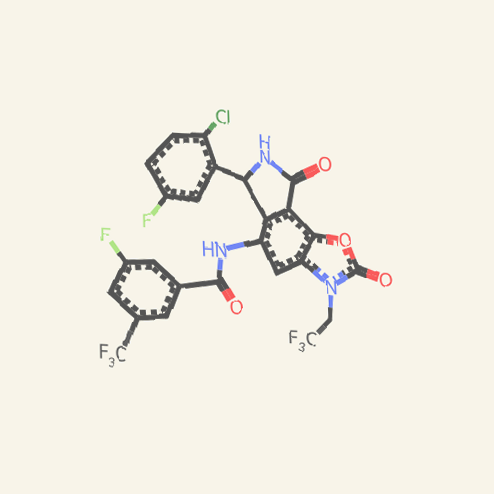 O=C(Nc1cc2c(oc(=O)n2CC(F)(F)F)c2c1C(c1cc(F)ccc1Cl)NC2=O)c1cc(F)cc(C(F)(F)F)c1